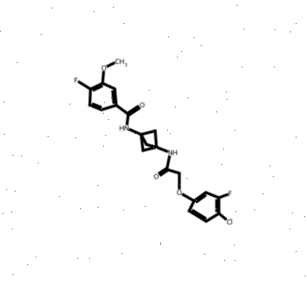 COc1cc(C(=O)NC23CC(NC(=O)COc4ccc(Cl)c(F)c4)(C2)C3)ccc1F